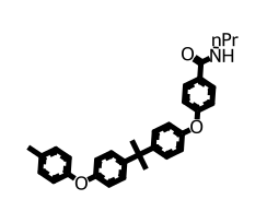 CCCNC(=O)c1ccc(Oc2ccc(C(C)(C)c3ccc(Oc4ccc(C)cc4)cc3)cc2)cc1